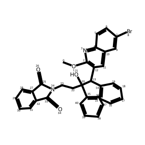 COc1nc2ccc(Br)cc2cc1C(c1ccccc1)C(O)(CCN1C(=O)c2ccccc2C1=O)c1ccccc1